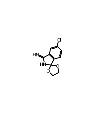 N=C1NC2(OCCO2)c2ccc(Cl)cc21